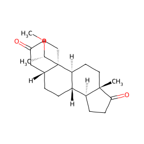 CO[C@@H](C)[C@]12CCC(=O)C[C@H]1CC[C@@H]1[C@@H]2CC[C@]2(C)C(=O)CC[C@@H]12